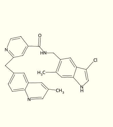 Cc1cnc2ccc(Cc3cc(C(=O)NCc4cc5c(Cl)c[nH]c5cc4C)ccn3)cc2c1